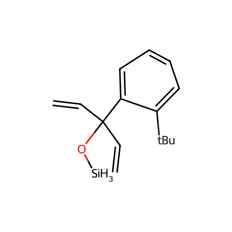 C=CC(C=C)(O[SiH3])c1ccccc1C(C)(C)C